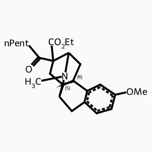 CCCCCC(=O)C1(C(=O)OCC)C[C@@]23CCCC[C@]24CC1N(C)C3Cc1ccc(OC)cc14